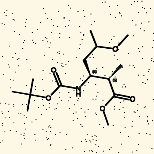 COC(=O)[C@@H](C)[C@H](CC(C)OC)NC(=O)OC(C)(C)C